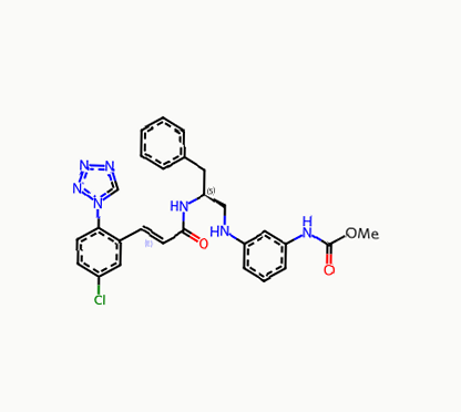 COC(=O)Nc1cccc(NC[C@H](Cc2ccccc2)NC(=O)/C=C/c2cc(Cl)ccc2-n2cnnn2)c1